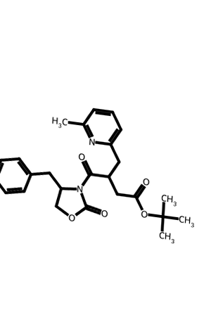 Cc1cccc(CC(CC(=O)OC(C)(C)C)C(=O)N2C(=O)OCC2Cc2ccccc2)n1